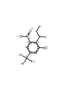 CCC(C)c1c(Cl)cc(C(F)(F)F)cc1[N+](=O)[O-]